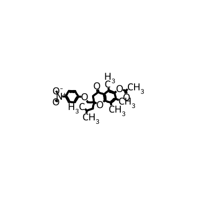 CC(=O)Oc1c(C)c(C)c2c(c1C)C(=O)CC(COc1ccc([N+](=O)[O-])cc1)(CC(C)C)O2